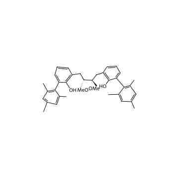 CO[C@H](Cc1cccc(-c2c(C)cc(C)cc2C)c1O)[C@@H](Cc1cccc(-c2c(C)cc(C)cc2C)c1O)OC